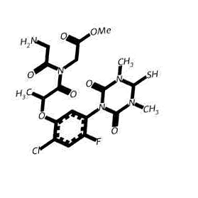 COC(=O)CN(C(=O)CN)C(=O)C(C)Oc1cc(N2C(=O)N(C)C(S)N(C)C2=O)c(F)cc1Cl